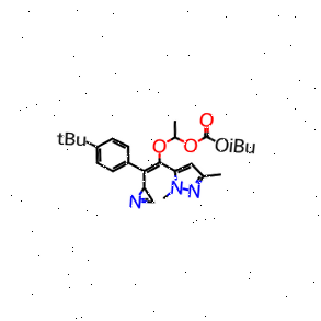 Cc1cc(/C(OC(C)OC(=O)OCC(C)C)=C(/c2ccc(C(C)(C)C)cc2)C2C=N2)n(C)n1